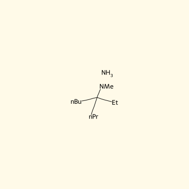 CCCCC(CC)(CCC)NC.N